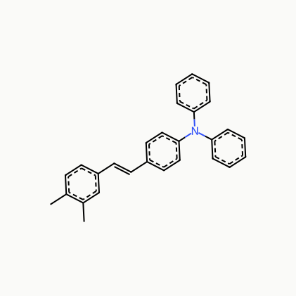 Cc1ccc(C=Cc2ccc(N(c3ccccc3)c3ccccc3)cc2)cc1C